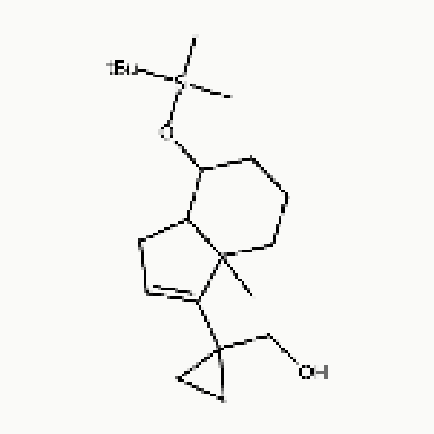 CC12CCCC(O[Si](C)(C)C(C)(C)C)C1CC=C2C1(CO)CC1